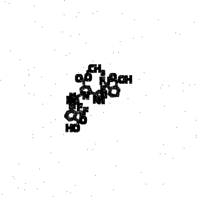 CCOC(=O)c1cc(-c2cn(-c3cccc(C(=O)O)c3C(F)(F)F)nn2)nc(-c2cn(-c3cccc(C(=O)O)c3C(F)(F)F)nn2)c1